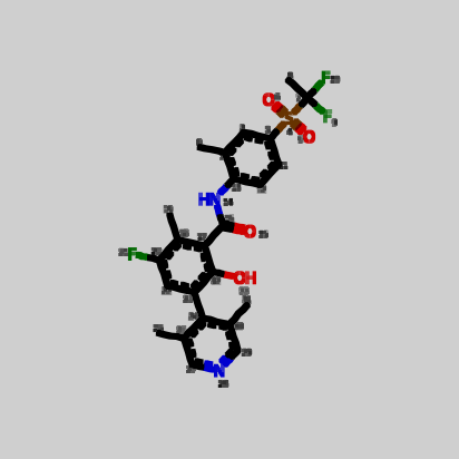 Cc1cc(S(=O)(=O)C(C)(F)F)ccc1NC(=O)c1c(C)c(F)cc(-c2c(C)cncc2C)c1O